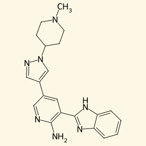 CN1CCC(n2cc(-c3cnc(N)c(-c4nc5ccccc5[nH]4)c3)cn2)CC1